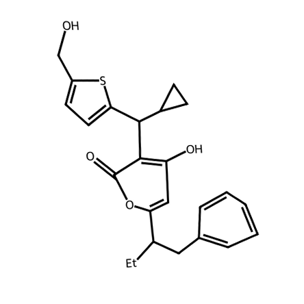 CCC(Cc1ccccc1)c1cc(O)c(C(c2ccc(CO)s2)C2CC2)c(=O)o1